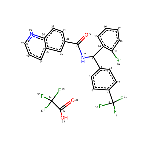 O=C(NC(c1ccc(C(F)(F)F)cc1)c1ccccc1Br)c1ccc2ncccc2c1.O=C(O)C(F)(F)F